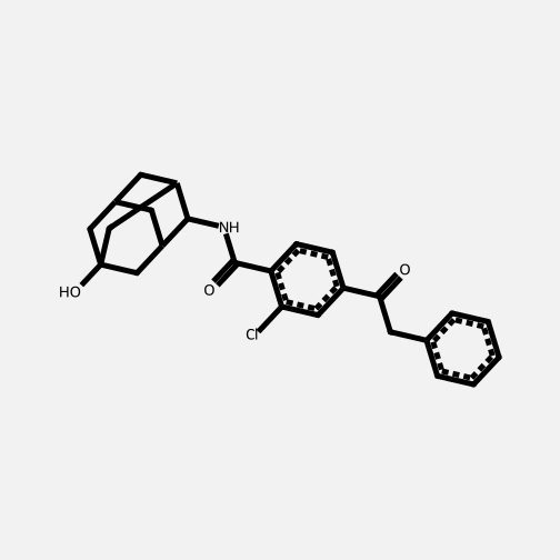 O=C(Cc1ccccc1)c1ccc(C(=O)NC2C3CC4CC2CC(O)(C4)C3)c(Cl)c1